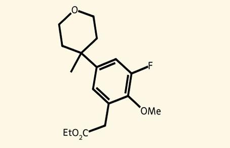 CCOC(=O)Cc1cc(C2(C)CCOCC2)cc(F)c1OC